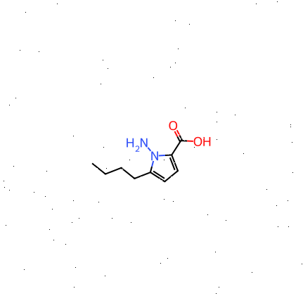 CCCCc1ccc(C(=O)O)n1N